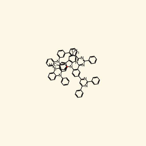 Cc1ccc2c(c1)c1cc(C)ccc1n2-c1ccc(-c2cc(-c3ccccc3)nc(-c3ccccc3)n2)cc1-c1nc(-c2ccccc2)nc(-c2cccc(-c3cccc(N4c5ccccc5B5c6ccccc6N(c6ccccc6)c6cccc4c65)c3)c2)n1